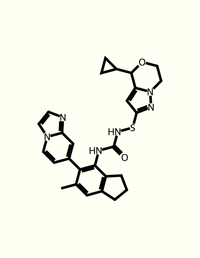 Cc1cc2c(c(NC(=O)NSc3cc4n(n3)CCOC4C3CC3)c1-c1ccn3ccnc3c1)CCC2